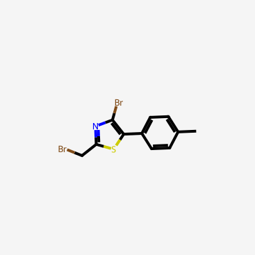 Cc1ccc(-c2sc(CBr)nc2Br)cc1